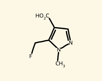 Cn1ncc(C(=O)O)c1CF